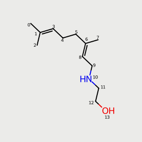 CC(C)=CCCC(C)=CCNCCO